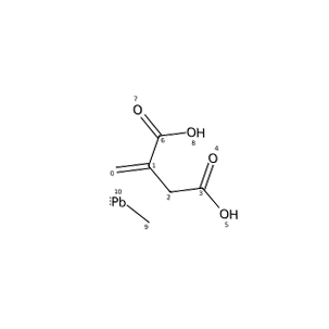 C=C(CC(=O)O)C(=O)O.[CH3][Pb]